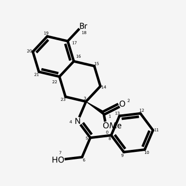 COC(=O)[C@]1(/N=C(/CO)c2ccccc2)CCc2c(Br)cccc2C1